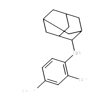 CCOC(=O)c1ccc(NC2C3CC4CC(C3)CC2C4)c(N=O)c1